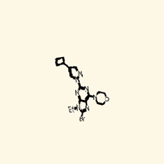 CCn1c(Br)nc2c(N3CCOCC3)nc(-n3cc(C4CCC4)cn3)nc21